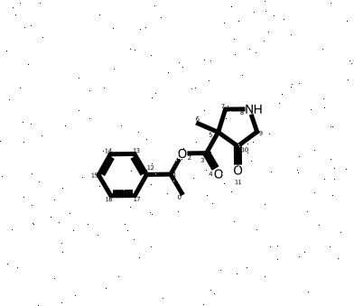 CC(OC(=O)C1(C)CNCC1=O)c1ccccc1